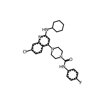 O=C(Nc1ccc(F)cc1)N1CCN(c2cc(NC3CCCCC3)nc3cc(Cl)ccc23)CC1